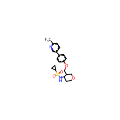 O=S(=O)(NC1CCOCC1COc1ccc(-c2ccc(C(F)(F)F)nc2)cc1)C1CC1